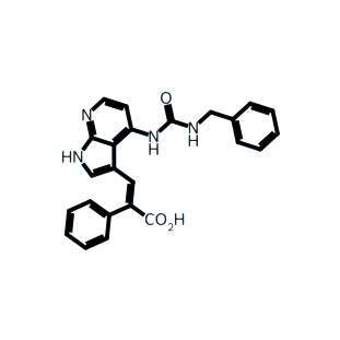 O=C(NCc1ccccc1)Nc1ccnc2[nH]cc(C=C(C(=O)O)c3ccccc3)c12